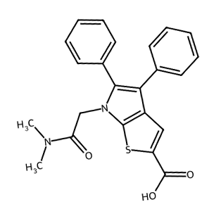 CN(C)C(=O)Cn1c(-c2ccccc2)c(-c2ccccc2)c2cc(C(=O)O)sc21